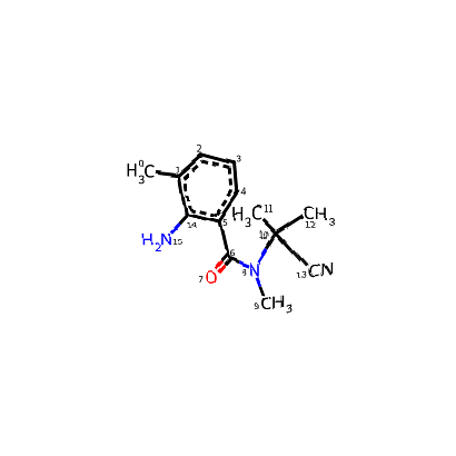 Cc1cccc(C(=O)N(C)C(C)(C)C#N)c1N